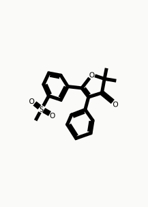 CC1(C)OC(c2cccc(S(C)(=O)=O)c2)=C(c2ccccc2)C1=O